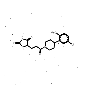 COc1ccc(Cl)cc1C1CCN(C(=O)CCC2NC(=O)NC2=O)CC1